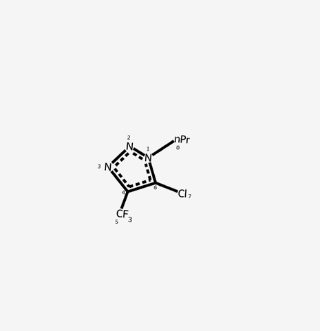 CCCn1nnc(C(F)(F)F)c1Cl